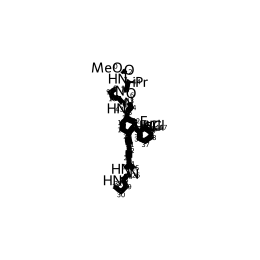 COC(=O)N[C@H](C(=O)N1CCCC1c1ncc(-c2ccc(C#CC#Cc3cnc(C4CCCN4)[nH]3)c(-c3ccccc3F)c2)[nH]1)C(C)C.Cl.Cl.Cl